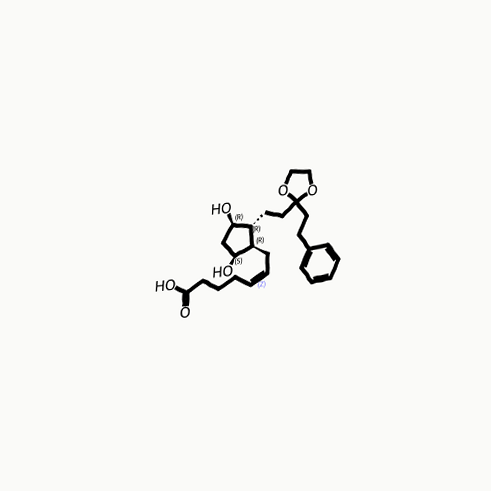 O=C(O)CCC/C=C\C[C@@H]1[C@@H](CCC2(CCc3ccccc3)OCCO2)[C@H](O)C[C@@H]1O